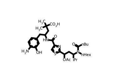 CCCCCCN(C(=O)CCCC)C(CC(OC(C)=O)c1nc(C(=O)NC(Cc2ccc(N)c(O)c2)CC(C)(C)C(=O)O)cs1)C(C)C